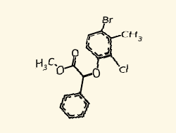 COC(=O)C(Oc1ccc(Br)c(C)c1Cl)c1ccccc1